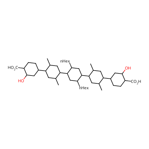 CCCCCCC1CC(C2CC(C)C(C3CCC(C(=O)O)C(O)C3)CC2C)C(CCCCCC)CC1C1CC(C)C(C2CCC(C(=O)O)C(O)C2)CC1C